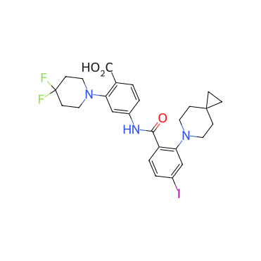 O=C(O)c1ccc(NC(=O)c2ccc(I)cc2N2CCC3(CC2)CC3)cc1N1CCC(F)(F)CC1